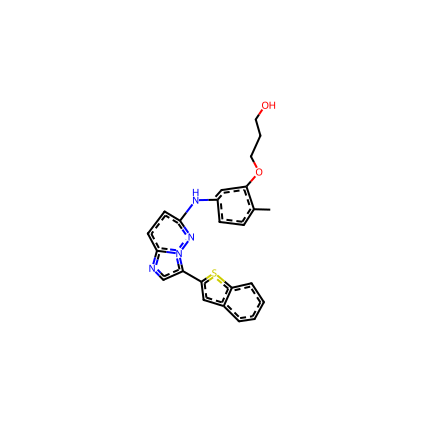 Cc1ccc(Nc2ccc3ncc(-c4cc5ccccc5s4)n3n2)cc1OCCCO